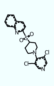 O=S(=O)(c1ccc2ccccc2n1)C1CCN(c2c(Cl)cncc2Cl)CC1